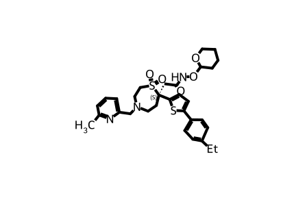 CCc1ccc(-c2ccc([C@@]3(CC(=O)NOC4CCCCO4)CCN(Cc4cccc(C)n4)CCS3(=O)=O)s2)cc1